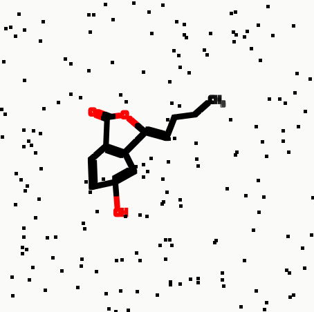 CCC/C=C1\OC(=O)c2ccc(O)cc21